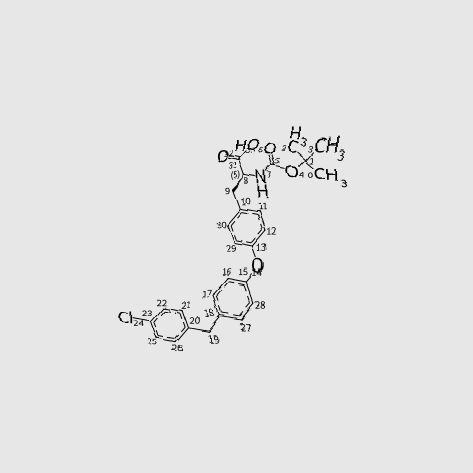 CC(C)(C)OC(=O)N[C@@H](Cc1ccc(Oc2ccc(Cc3ccc(Cl)cc3)cc2)cc1)C(=O)O